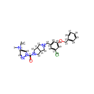 CC(=O)N(C)c1cnn(C(=O)N2CC3CN(Cc4cc(Cl)cc(OCc5ccccc5)c4)CC3C2)c1